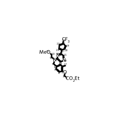 CCOC(=O)COc1ccc(CN(CCOC)c2cncc(-c3ccc(C(F)(F)F)cc3)n2)cc1C